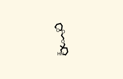 CC1(COCCOC2CCCCO2)CCCNC1